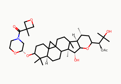 CC(=O)O[C@@H](C1C[C@@H](C)[C@H]2C(O1)[C@H](O)[C@@]1(C)C3CC[C@H]4C(C)(C)C(O[C@H]5CN(C(=O)C6(C)COC6)CCO5)CCC45CC35CCC21C)C(C)(C)O